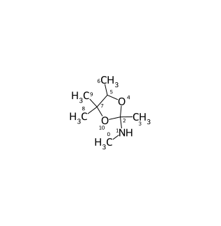 CNC1(C)OC(C)C(C)(C)O1